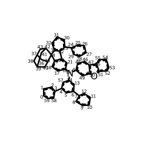 c1ccc(-c2cc(-c3ccccc3)cc(N(c3ccc4c(c3)-c3c(-c5ccccc5)cccc3C43C4CC5CC(C4)CC3C5)c3ccc4c(c3)oc3ccccc34)c2)cc1